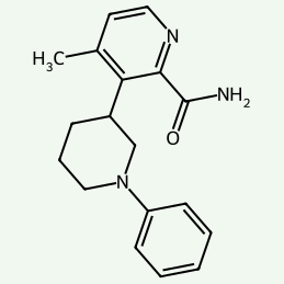 Cc1ccnc(C(N)=O)c1C1CCCN(c2ccccc2)C1